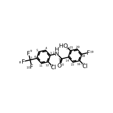 O=C(Nc1ccc(C(F)(F)F)cc1Cl)c1cc(Cl)c(F)cc1O